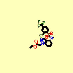 CCOC(=O)Cn1ncc2c1CCC[C@H]2N(C)S(=O)(=O)c1ccc(C(F)(F)F)cc1Cl